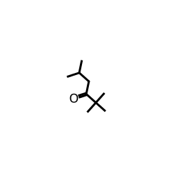 CC(C)CC(=O)C(C)(C)C